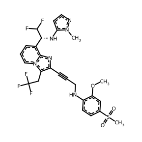 COc1cc(S(C)(=O)=O)ccc1NCC#Cc1nc2c([C@@H](Nc3ccnn3C)C(F)F)cccn2c1CC(F)(F)F